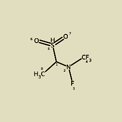 CC(N(F)C(F)(F)F)[SH](=O)=O